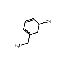 NCC1=CC=CN(O)C1